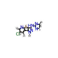 Cc1ccnc(Nc2nn(C)c3c2sc2nc(C)c(Cl)c(C)c23)n1